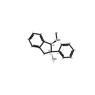 CN[C@@H]1c2ccccc2C[C@]1(O)c1ccccc1